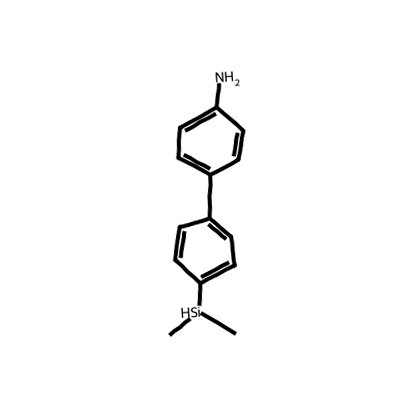 C[SiH](C)c1ccc(-c2ccc(N)cc2)cc1